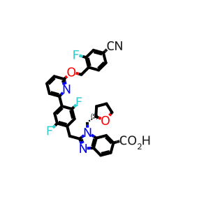 N#Cc1ccc(COc2cccc(-c3cc(F)c(Cc4nc5ccc(C(=O)O)cc5n4C[C@@H]4CCCO4)cc3F)n2)c(F)c1